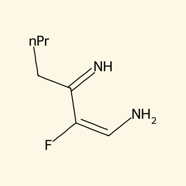 CCCCC(=N)/C(F)=C\N